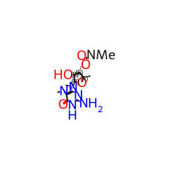 CNC(=O)OC[C@H]1[C@@H](O)[C@H](n2c[n+](C)c3c(=O)[nH]c(N)nc32)O[C@@H]1C